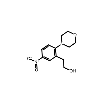 O=[N+]([O-])c1ccc(N2CCOCC2)c(CCO)c1